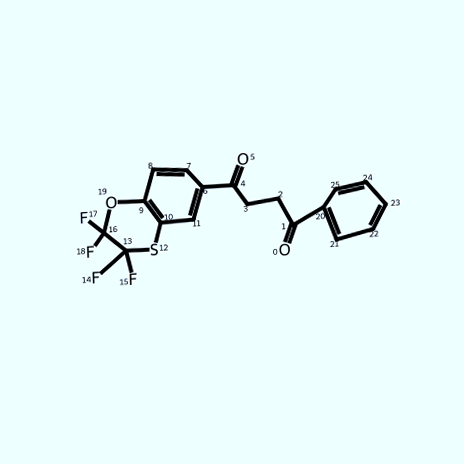 O=C(CCC(=O)c1ccc2c(c1)SC(F)(F)C(F)(F)O2)c1ccccc1